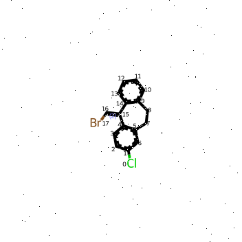 Clc1ccc2c(c1)CCc1ccccc1/C2=C/Br